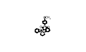 COc1ccc(N2C(=O)CC(P3(=O)N(c4ccccc4)CCCN3c3ccccc3)C2=O)cc1